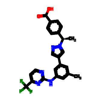 Cc1cc(Nc2nccc(C(F)(F)F)n2)cc(-c2cnn([C@@H](C)c3ccc(C(=O)O)cc3)c2)c1